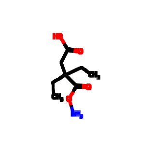 CCC(CC)(CC(=O)O)C(=O)ON